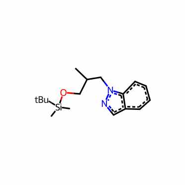 CC(CO[Si](C)(C)C(C)(C)C)Cn1ncc2ccccc21